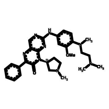 COc1cc(Nc2ncc3nc(-c4ccccc4)c(=O)n([C@H]4CCN(C)C4)c3n2)ccc1N(C)CCN(C)C